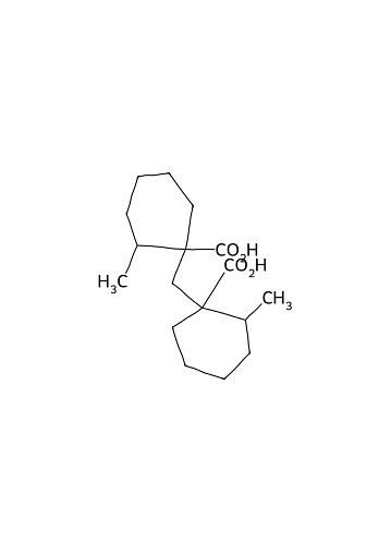 CC1CCCCC1(CC1(C(=O)O)CCCCC1C)C(=O)O